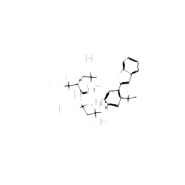 CC(C)(C)CC(C(=O)OC(C)(C)CC(C)(C)Oc1ccc(-c2cc3ccccc3s2)c(C(F)(F)F)c1)C(C)(C)C